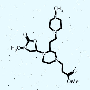 COC(=O)CCN1CCN(C2CN(C)C(=O)O2)C(CCN2CCN(C)CC2)C1